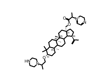 C=C(C)[C@@H]1CC[C@]2(COC(=O)C(C)[N+]3=CC=NCC3)CC[C@]3(C)C(CCC4[C@@]5(C)CC[C@H](OCC(C)N6CCNCC6)C(C)(C)C5CC[C@]43C)C12